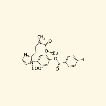 CN(CCC1=NC=C[N+]1(C(=O)[O-])c1ccc(OC(=O)c2ccc(I)cc2)cc1)C(=O)OC(C)(C)C